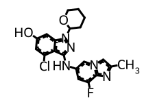 Cc1cn2cc(Nc3nn(C4CCCCO4)c4cc(O)cc(Cl)c34)cc(F)c2n1